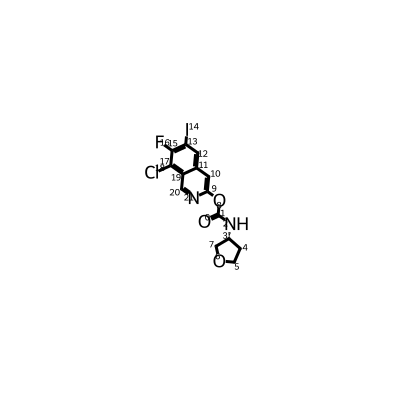 O=C(N[C@@H]1CCOC1)Oc1cc2cc(I)c(F)c(Cl)c2cn1